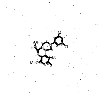 CCc1cc(N=C(NO)N2CCN(c3cc(Cl)cc(Cl)c3)CC2)c(OC)nc1C